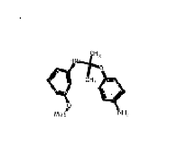 CSOc1cccc(NC(C)(C)Oc2ccc(N)cc2)c1